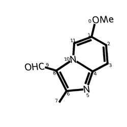 COc1ccc2nc(C)c(C=O)n2c1